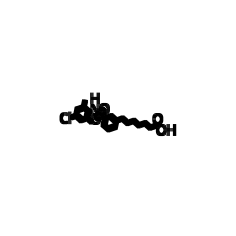 Cc1cc(Cl)cc(C)c1NS(=O)(=O)c1cccc(CCCCCCC(=O)O)c1